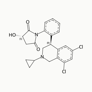 O=C1C[C@H](O)C(=O)N1c1ccccc1[C@@H]1CN(C2CC2)Cc2c(Cl)cc(Cl)cc21